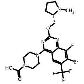 CN1CCC[C@H]1COc1nc(N2CCN(C(=O)O)CC2)c2cc(C(F)(F)F)c(Br)c(F)c2n1